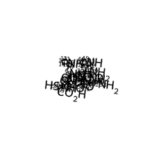 C[C@H](NC(=O)[C@H](Cc1c[nH]c2ccccc12)NC(=O)[C@@H]1CCCN1C(=O)[C@@H](NC(=O)[C@H](CC(N)=O)NC(=O)[C@@H](N)Cc1c[nH]c2ccccc12)[C@@H](C)O)C(=O)N[C@@H](CS)C(=O)O